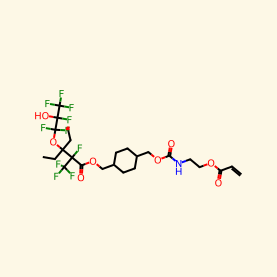 C=CC(=O)OCCNC(=O)OCC1CCC(COC(=O)C(F)(C(F)(F)F)C(CC)(CC)OC(F)(F)C(O)(F)C(F)(F)F)CC1